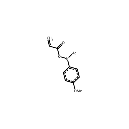 C=CC(=O)ON(C(C)=O)c1ccc(OC)cc1